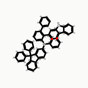 c1ccc(-c2cccc(N(c3ccccc3)c3ccc4c(c3)C(c3ccccc3)(c3ccccc3)c3ccccc3-4)c2-c2ccc3c(c2)oc2ccccc23)cc1